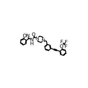 O=C(Nc1noc2ccccc12)N1CCN(Cc2cccc(C#Cc3ccccc3OC(F)(F)F)c2)CC1